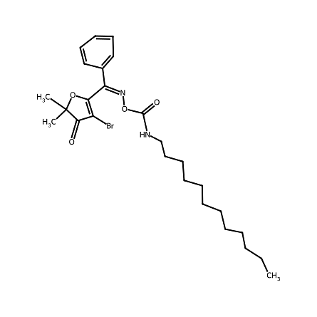 CCCCCCCCCCCCNC(=O)ON=C(C1=C(Br)C(=O)C(C)(C)O1)c1ccccc1